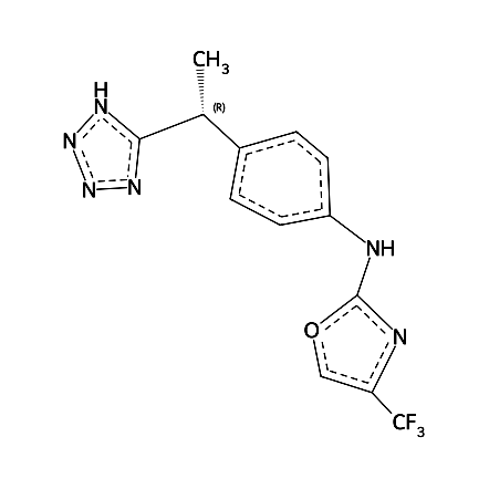 C[C@H](c1ccc(Nc2nc(C(F)(F)F)co2)cc1)c1nnn[nH]1